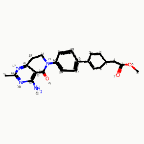 COC(=O)CC1CC=C(c2ccc(N3CCc4nc(C)nc(N)c4C3=O)cc2)CC1